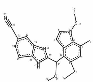 CCc1cc(C)c2c(ccn2SI)c1C(OC)c1nc2cc(C#N)ccc2[nH]1